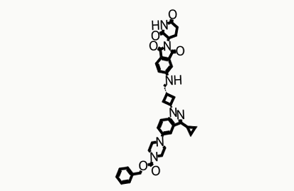 O=C1CCC(N2C(=O)c3ccc(NC[C@H]4C[C@H](n5nc(C6CC6)c6cc(N7CCN(C(=O)OCc8ccccc8)CC7)ccc65)C4)cc3C2=O)C(=O)N1